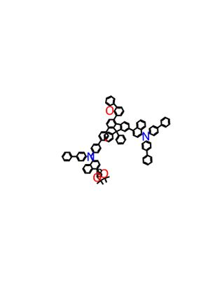 CC1(C)OB(c2ccc(N(c3ccc(-c4ccccc4)cc3)c3ccc(-c4ccc(-c5ccc(-c6cccc7c6oc6ccccc67)c6c5C(c5ccccc5)(c5ccccc5)c5cc(-c7ccc(N(c8ccc(-c9ccccc9)cc8)c8ccc(-c9ccccc9)cc8)c8ccccc78)ccc5-6)cc4)cc3)c3ccccc23)OC1(C)C